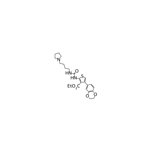 CCOC(=O)c1c(-c2ccc3c(c2)OCCO3)csc1NC(=O)NCCCCN1CCCC1